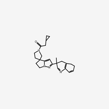 CC1(c2cc3n(n2)CCC32CCN(C(=O)CC3CC3)C2)C=NC2=C(CCC=C2)C1